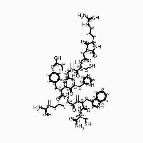 N=C(N)NCCC[C@H](NC(=O)[C@@H](Cc1ccccc1)NC(=O)[C@H](Cc1cnc[nH]1)NC(=O)[C@H](CCC(=O)O)NC(=O)[C@H](CS)NC(=O)CN1C(=O)N[C@H](CCCNC(=N)N)C1=O)C(=O)N[C@@H](Cc1c[nH]c2ccccc12)C(=O)N[C@@H](CS)C(N)=O